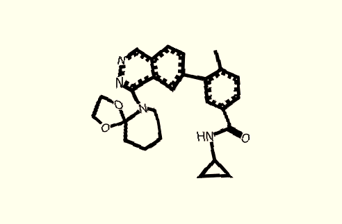 Cc1ccc(C(=O)NC2CC2)cc1-c1ccc2cnnc(N3CCCCC34OCCO4)c2c1